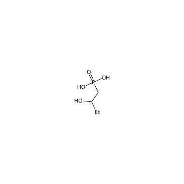 CCC(O)CP(=O)(O)O